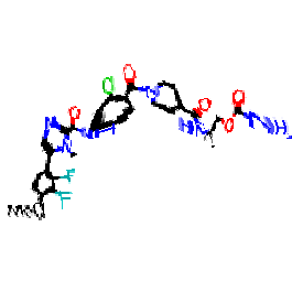 COc1ccc(-c2cnc(C(=O)Nc3ccc(C(=O)N4CCC(C(=O)N[C@@H](C)COC(N)=O)CC4)c(Cl)c3)n2C)c(F)c1F